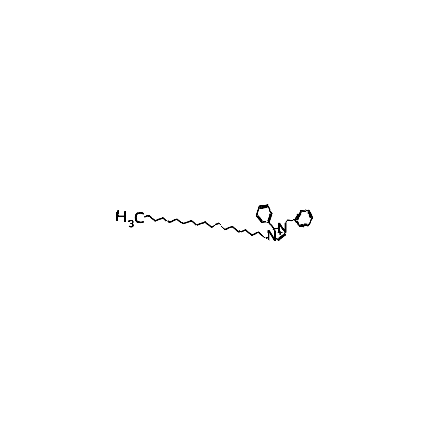 CCCCCCCCCCCCCCCCCCC[n+]1ccn(Cc2ccccc2)c1-c1ccccc1